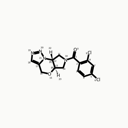 O=C(c1ccc(Cl)cc1Cl)N1C[C@@H]2[C@@H](C1)OCc1cnnn12